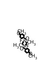 COc1ccc(C(=O)N2CC(C)N(C(=O)c3ccc(OC)cc3F)CC2C)c(F)c1